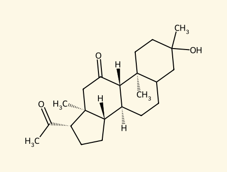 CC(=O)[C@H]1CC[C@H]2[C@@H]3CCC4CC(C)(O)CC[C@]4(C)[C@H]3C(=O)C[C@]12C